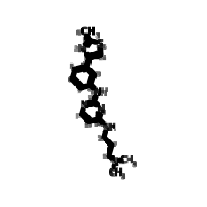 Cc1nc(-c2cccc(Nc3nccc(NCCCN(C)C)n3)c2)cs1